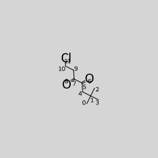 CC(C)(C)CC(=O)C(=O)CCCl